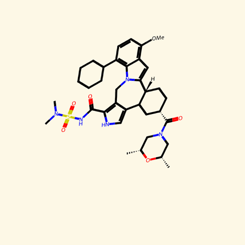 COc1ccc(C2CCCCC2)c2c1cc1n2Cc2c(c[nH]c2C(=O)NS(=O)(=O)N(C)C)C2C[C@@H](C(=O)N3C[C@@H](C)O[C@@H](C)C3)CC[C@@H]12